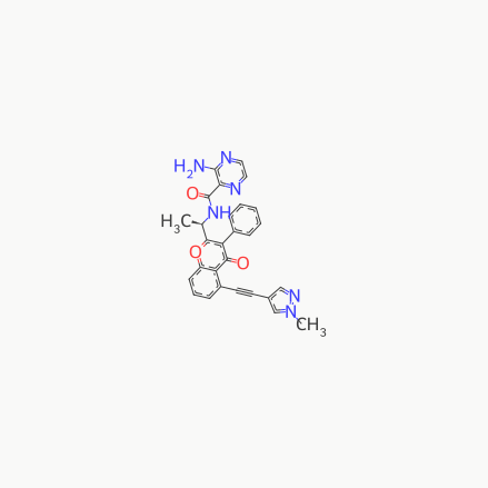 C[C@@H](NC(=O)c1nccnc1N)c1oc2cccc(C#Cc3cnn(C)c3)c2c(=O)c1-c1ccccc1